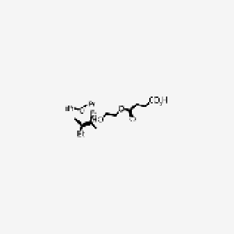 CC(C)OC(C)C.CC/C(C)=C(\C)CC.O=C(O)CCC(=O)OCCO